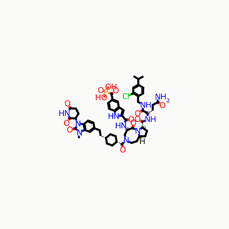 CC(C)c1ccc(CNC(=O)[C@H](CCC(N)=O)NC(=O)[C@@H]2CC[C@@H]3CCN(C(=O)[C@H]4CC[C@@H](CCc5ccc6c(c5)n(C)c(=O)n6C5CCC(=O)NC5=O)CC4)C[C@H](NC(=O)c4cc5cc(C(=O)P(=O)(O)O)ccc5[nH]4)C(=O)N32)c(Cl)c1